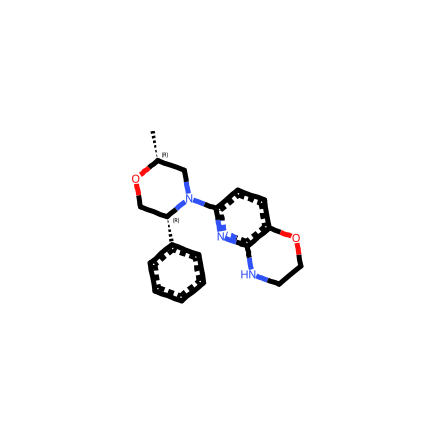 C[C@@H]1CN(c2ccc3c(n2)NCCO3)[C@H](c2ccccc2)CO1